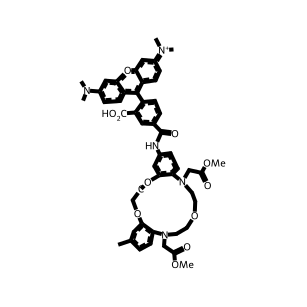 COC(=O)CN1CCOCCN(CC(=O)OC)c2ccc(NC(=O)c3ccc(-c4c5ccc(=[N+](C)C)cc-5oc5cc(N(C)C)ccc45)c(C(=O)O)c3)cc2OCCOc2cc(C)ccc21